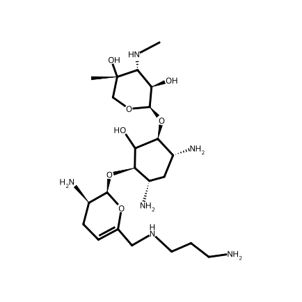 CN[C@@H]1[C@@H](O)[C@@H](O[C@@H]2C(O)[C@H](O[C@H]3OC(CNCCCN)=CC[C@H]3N)[C@@H](N)C[C@H]2N)OC[C@]1(C)O